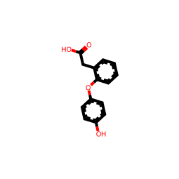 O=C(O)Cc1ccccc1Oc1ccc(O)cc1